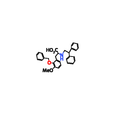 COc1cccc(CC(NCC(c2ccccc2)c2ccccc2)C(=O)O)c1OCc1ccccc1